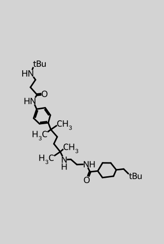 CC(C)(C)CC1CCC(C(=O)NCCNC(C)(C)CCC(C)(C)c2ccc(NC(=O)CCNC(C)(C)C)cc2)CC1